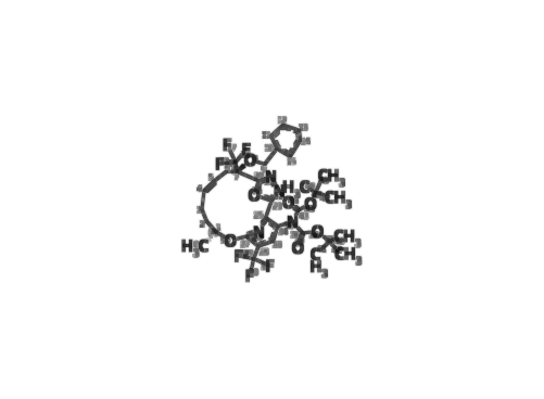 C[C@@H]1CCC=CC[C@](OCc2ccccc2)(C(F)(F)F)c2nnc(o2)-c2nc(c(C(F)(F)F)cc2N(C(=O)OC(C)(C)C)C(=O)OC(C)(C)C)O1